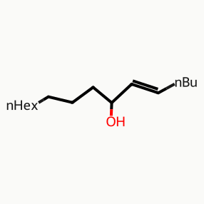 CCCCC=CC(O)CCCCCCCCC